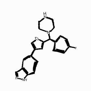 Fc1ccc(C(c2cc(-c3ccc4[nH]ncc4c3)co2)N2CCNCC2)cc1